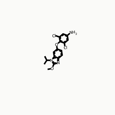 COc1nc2ccc(Oc3c(Cl)cc(N)cc3Cl)cc2n1C(C)C